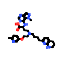 Cc1ccc(OCCN(CCCCc2ccc3c(n2)NCCC3)CC[C@H](Nc2ncnc3cnn(C)c23)C(=O)O)cn1